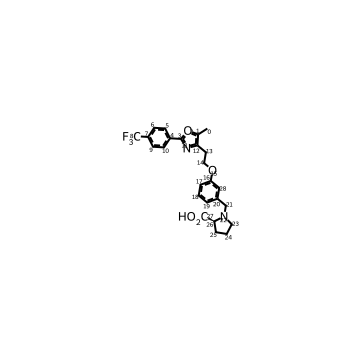 Cc1oc(-c2ccc(C(F)(F)F)cc2)nc1CCOc1cccc(CN2CCC[C@H]2C(=O)O)c1